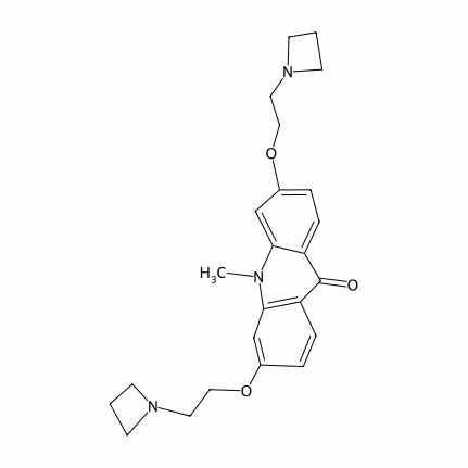 Cn1c2cc(OCCN3CCC3)ccc2c(=O)c2ccc(OCCN3CCC3)cc21